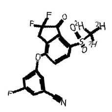 [2H]C([2H])([2H])S(=O)(=O)c1ccc(Oc2cc(F)cc(C#N)c2)c2c1C(=O)C(F)(F)C2